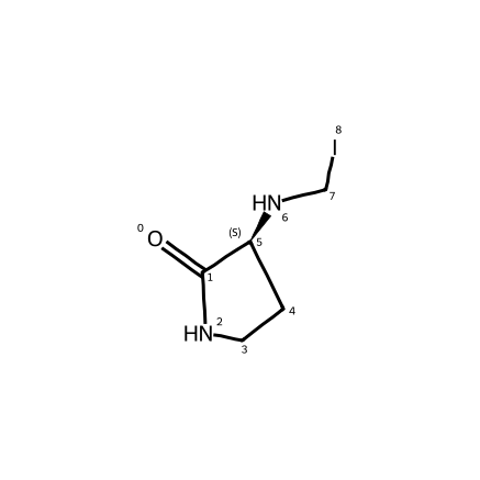 O=C1NCC[C@@H]1NCI